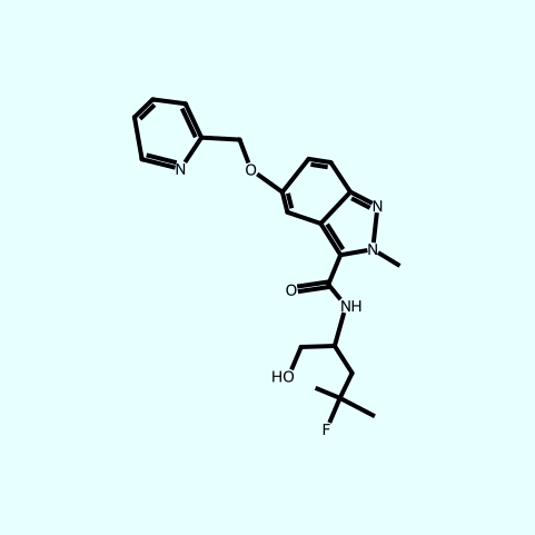 Cn1nc2ccc(OCc3ccccn3)cc2c1C(=O)NC(CO)CC(C)(C)F